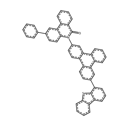 O=c1c2ccccc2c2cc(-c3ccccc3)ccc2n1-c1ccc2c3ccc(-c4cccc5c4sc4ccccc45)cc3c3ccccc3c2c1